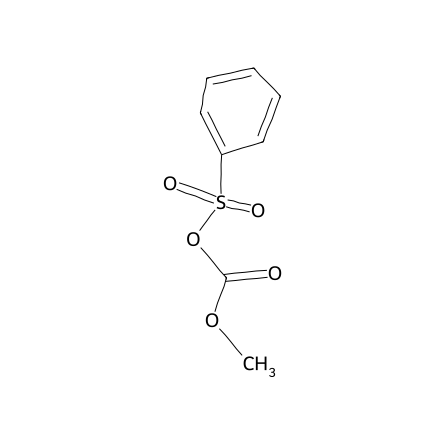 COC(=O)OS(=O)(=O)c1ccccc1